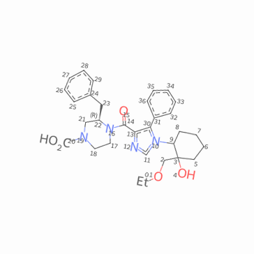 CCOCC1(O)CCCCC1n1cnc(C(=O)N2CCN(C(=O)O)C[C@H]2Cc2ccccc2)c1-c1ccccc1